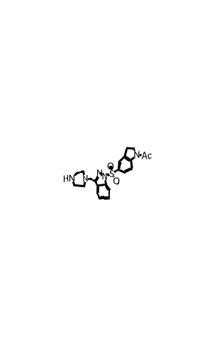 CC(=O)N1CCc2cc(S(=O)(=O)n3nc(N4CCNCC4)c4ccccc43)ccc21